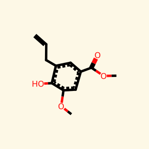 C=CCc1cc(C(=O)OC)cc(OC)c1O